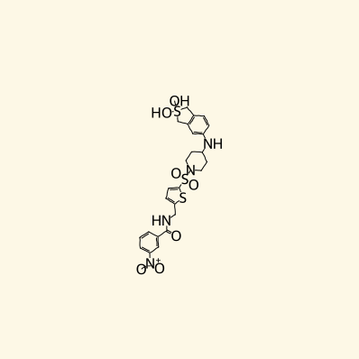 O=C(NCc1ccc(S(=O)(=O)N2CCC(Nc3ccc4c(c3)CS(O)(O)C4)CC2)s1)c1cccc([N+](=O)[O-])c1